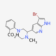 CN1CCN(c2ccccc2C(=O)O)CC1c1cnc2[nH]cc(Br)c2c1